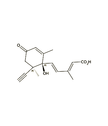 C#C[C@@]1(C)CC(=O)C=C(C)[C@]1(O)C=CC(C)=CC(=O)O